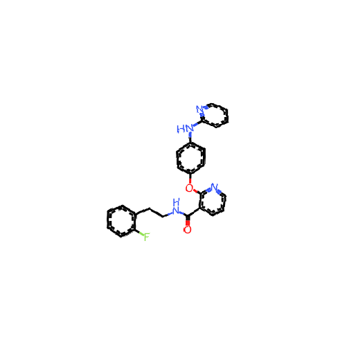 O=C(NCCc1ccccc1F)c1cccnc1Oc1ccc(Nc2ccccn2)cc1